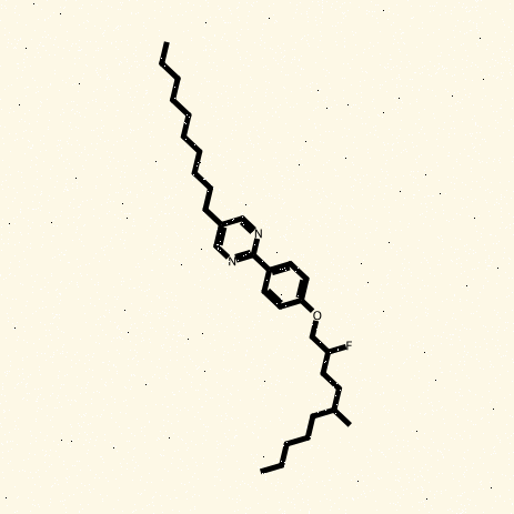 CCCCCCCCCCc1cnc(-c2ccc(OCC(F)CCC(C)CCCCC)cc2)nc1